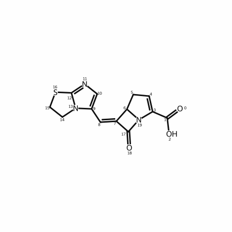 O=C(O)C1=CCC2/C(=C\c3cnc4n3CCS4)C(=O)N12